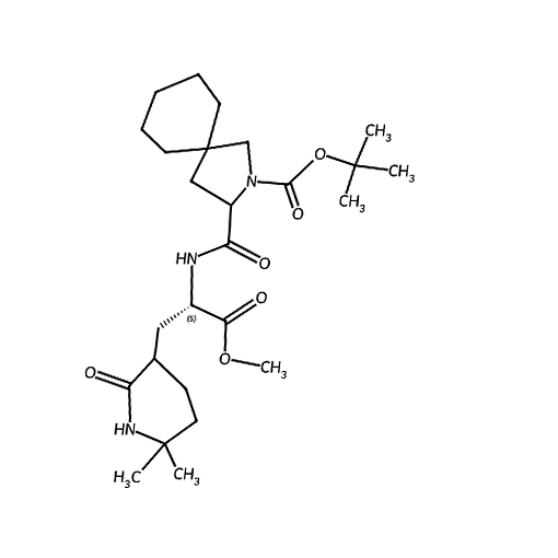 COC(=O)[C@H](CC1CCC(C)(C)NC1=O)NC(=O)C1CC2(CCCCC2)CN1C(=O)OC(C)(C)C